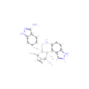 Nc1n[nH]c2ccc([C@@H]3Nc4ccc5[nH]ncc5c4[C@@H]4[C@H]3[C@H]3C=C[C@@H]4C3)cc12